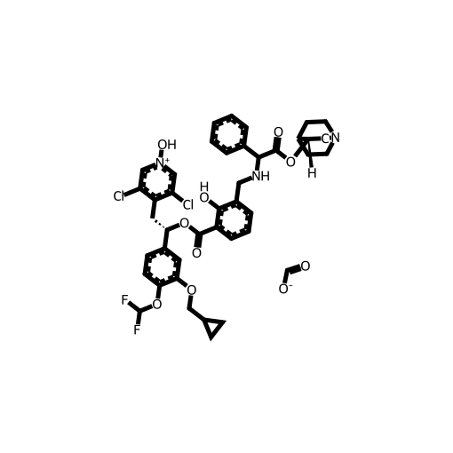 O=C(O[C@@H](Cc1c(Cl)c[n+](O)cc1Cl)c1ccc(OC(F)F)c(OCC2CC2)c1)c1cccc(CNC(C(=O)O[C@H]2CN3CCC2CC3)c2ccccc2)c1O.O=C[O-]